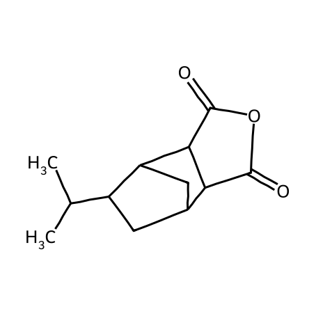 CC(C)C1CC2CC1C1C(=O)OC(=O)C21